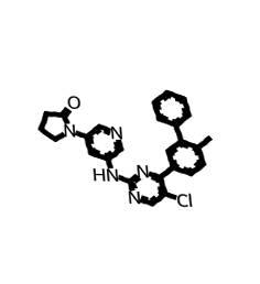 Cc1ccc(-c2nc(Nc3cncc(N4CCCC4=O)c3)ncc2Cl)cc1-c1ccccc1